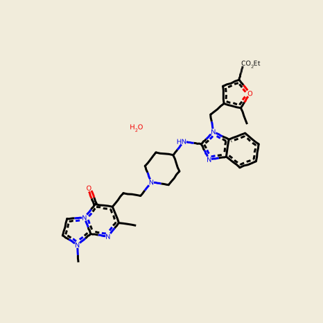 CCOC(=O)c1cc(Cn2c(NC3CCN(CCc4c(C)nc5n(C)ccn5c4=O)CC3)nc3ccccc32)c(C)o1.O